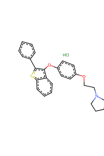 Cl.c1ccc(-c2sc3ccccc3c2Oc2ccc(OCCN3CCCC3)cc2)cc1